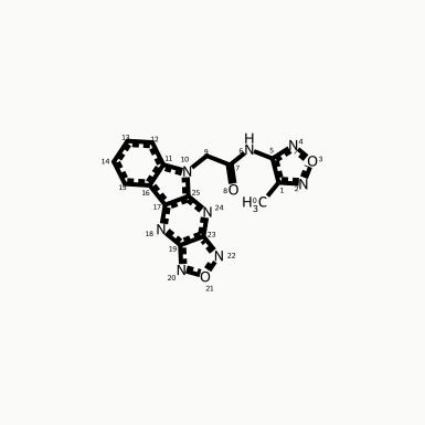 Cc1nonc1NC(=O)Cn1c2ccccc2c2nc3nonc3nc21